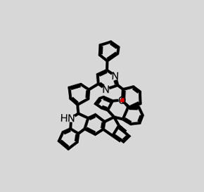 c1ccc(-c2cc(-c3cccc(C4Nc5ccccc5-c5cc6c(cc54)C4(c5ccccc5Oc5ccccc54)c4ccccc4-6)c3)nc(-c3ccccc3)n2)cc1